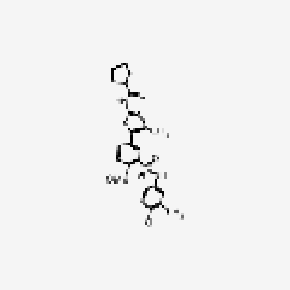 COc1ccc(-c2sc(NC(=O)C3CCCC3)nc2C)cc1S(=O)(=O)Nc1cnc(Cl)c(C)c1